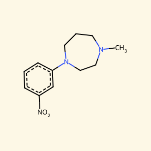 CN1CCCN(c2cccc([N+](=O)[O-])c2)CC1